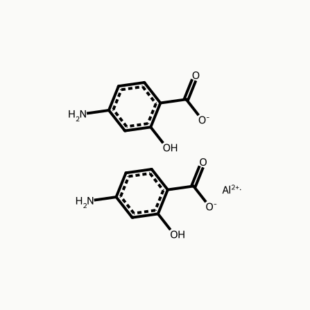 Nc1ccc(C(=O)[O-])c(O)c1.Nc1ccc(C(=O)[O-])c(O)c1.[Al+2]